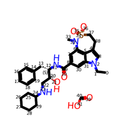 CCn1cc2c3c(cc(C(=O)N[C@@H](Cc4ccccc4)[C@H](O)CNC4CCCCC4)cc31)N(C)S(=O)(=O)CC2.O=CO